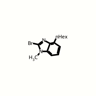 CCCCCCc1cccc2c1nc(Br)n2C